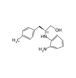 Cc1ccc(C[C@@H](CO)Nc2ccccc2N)cc1